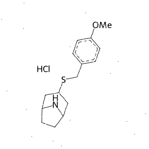 COc1ccc(CSC2CC3CCC(C2)N3)cc1.Cl